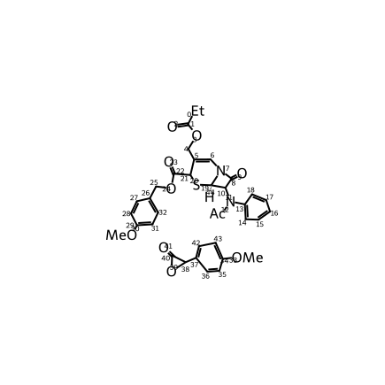 CCC(=O)OCC1=CN2C(=O)C(N(C(C)=O)c3ccccc3)[C@H]2SC1C(=O)OCc1ccc(OC)cc1.COc1ccc(C2OC2=O)cc1